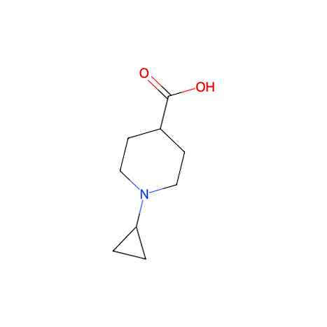 O=C(O)C1CCN(C2CC2)CC1